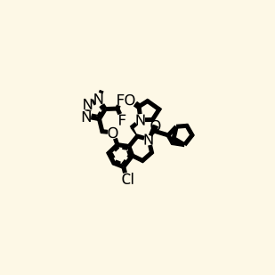 Cn1nnc(COc2ccc(Cl)c3c2[C@@H](CN2CCCC2=O)N(C(=O)C2CC4CCC2C4)CC3)c1C(F)F